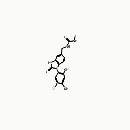 CCNC(=O)NCc1ccc2c(c1)[nH]c(=O)n2-c1cc(Cl)c(O)cc1O